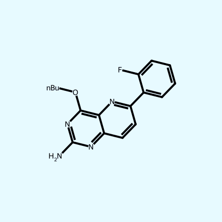 CCCCOc1nc(N)nc2ccc(-c3ccccc3F)nc12